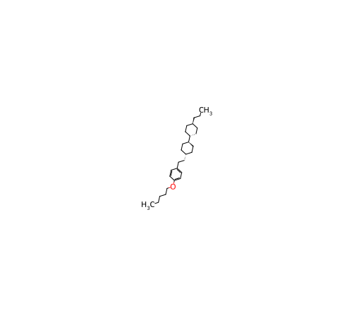 CCCCCOc1ccc(CC[C@H]2CC[C@H]([C@H]3CC[C@H](CCC)CC3)CC2)cc1